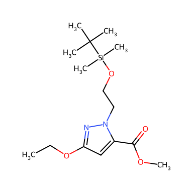 CCOc1cc(C(=O)OC)n(CCO[Si](C)(C)C(C)(C)C)n1